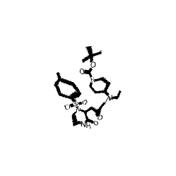 CCN(C(=O)CC1C(=O)NC=CN1S(=O)(=O)c1ccc(C)cc1)C1CCN(C(=O)OC(C)(C)C)CC1